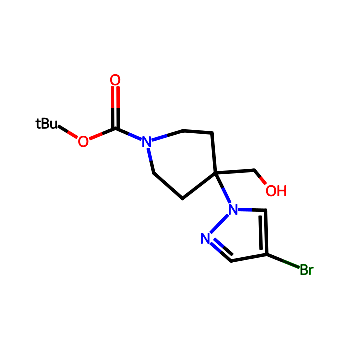 CC(C)(C)OC(=O)N1CCC(CO)(n2cc(Br)cn2)CC1